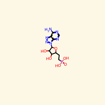 Nc1ncnc2c1nnn2C1OC(CCP(=O)(O)O)C(O)C1O